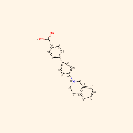 O=C(O)c1ccc(-c2ccc(N3CCc4ccccc4C3)cc2)cc1